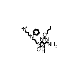 CCCCOc1nc(N)c2[nH]c(=O)n(CCCN(CCCN(C)C)c3[c]cccc3)c2n1